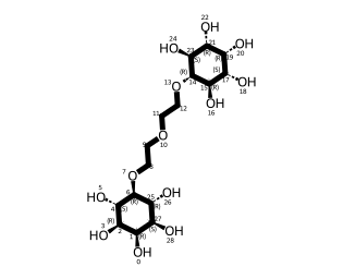 O[C@H]1[C@@H](O)[C@H](O)[C@@H](OCCOCCO[C@H]2[C@H](O)[C@@H](O)[C@@H](O)[C@@H](O)[C@@H]2O)[C@H](O)[C@H]1O